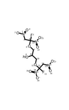 O=[N+]([O-])CC(F)(OCC(O)COC(F)(C[N+](=O)[O-])[N+](=O)[O-])[N+](=O)[O-]